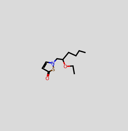 CCCCC(Cn1ccc(=O)s1)OCC